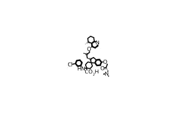 C[C@@H](COc1ccnc2c1[C@H](C)CCC2)C[C@H]1Cc2cc3c(cc2C12CCC(Nc1cccc(Cl)c1)(C(=O)O)CC2)O[C@@H](CN(C)C)CO3